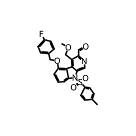 COCc1c(C=O)ncc2c1c1c(OCc3ccc(F)cc3)cccc1n2S(=O)(=O)c1ccc(C)cc1